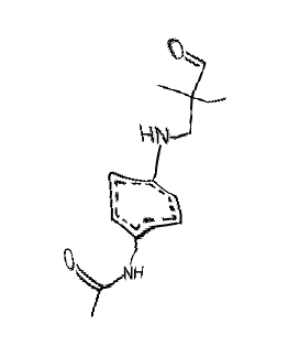 CC(=O)Nc1ccc(NCC(C)(C)C=O)cc1